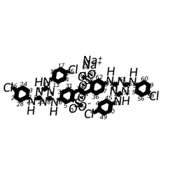 O=S(=O)([O-])c1cc(Nc2nc(Nc3ccc(Cl)cc3)nc(Nc3ccc(Cl)cc3)n2)ccc1C=Cc1ccc(Nc2nc(Nc3ccc(Cl)cc3)nc(Nc3ccc(Cl)cc3)n2)cc1S(=O)(=O)[O-].[Na+].[Na+]